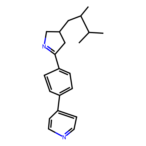 CC(C)C(C)CC1CN=C(c2ccc(-c3ccncc3)cc2)C1